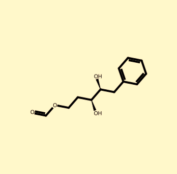 O=COCC[C@H](O)[C@@H](O)Cc1ccccc1